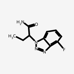 CCC(C(N)=O)n1nnc2c(F)cccc21